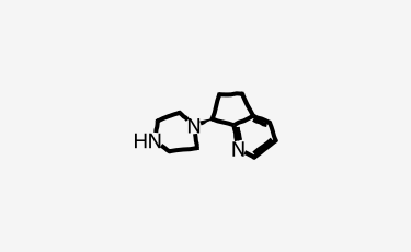 c1cnc2c(c1)CC[C@@H]2N1CCNCC1